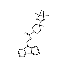 CC1(B2OC(C)(C)C(C)(C)O2)CCN(C(=O)OCC2c3ccccc3-c3ccccc32)CC1